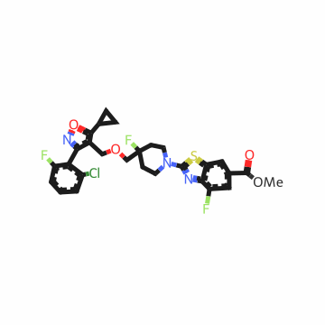 COC(=O)c1cc(F)c2nc(N3CCC(F)(COCc4c(-c5c(F)cccc5Cl)noc4C4CC4)CC3)sc2c1